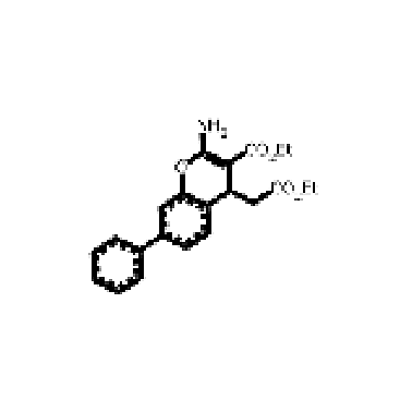 CCOC(=O)CC1C(C(=O)OCC)=C(N)Oc2cc(-c3ccccc3)ccc21